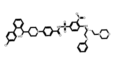 O=C(NS(=O)(=O)c1ccc(N[C@H](CCN2CCOCC2)CSc2ccccc2)c([N+](=O)[O-])c1)c1ccc(N2CCC(C(O)c3ccccc3-c3ccc(Cl)cc3)CC2)cc1